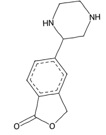 O=C1OCc2cc(C3CNCCN3)ccc21